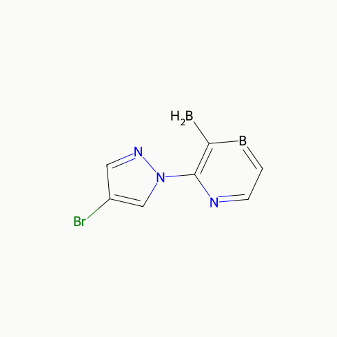 Bc1bccnc1-n1cc(Br)cn1